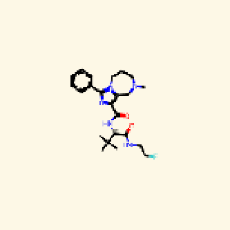 CN1CCCn2c(-c3ccccc3)nc(C(=O)N[C@H](C(=O)NCCF)C(C)(C)C)c2C1